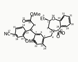 CC[C@@H]1CN(Cc2cc(C(CC(=O)OC)c3ccc(C#N)cc3OC)ccc2C)S(=O)(=O)c2ccccc2O1